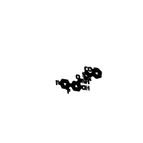 CCOC(=O)c1sc(NC(=O)c2cc(-c3ccc(F)cc3F)ccc2O)nc1-c1ccccc1